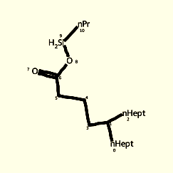 CCCCCCCC(CCCCCCC)CCCC(=O)O[SiH2]CCC